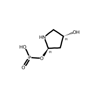 O=[P](O)O[C@@H]1C[C@@H](O)CN1